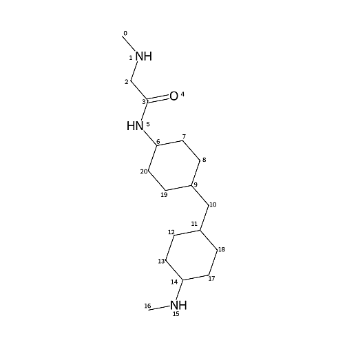 CNCC(=O)NC1CCC(CC2CCC(NC)CC2)CC1